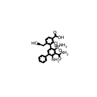 C#CCc1ccc(C(=O)O)c(Cl)c1-c1cc(-c2ccccc2)c(N)c(C(N)=O)c1S(N)(=O)=O